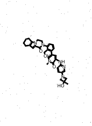 Cn1cc(-c2cccc(N3CCn4c(cc5c4CCCC5)C3=O)c2CO)cc(Nc2ccc(N3CC(C)(O)C3)cn2)c1=O